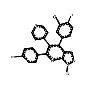 CCn1ncc2c(-c3ccc(Cl)c(Cl)c3)c(-c3ccncc3)c(-c3ccc(F)cc3)nc21